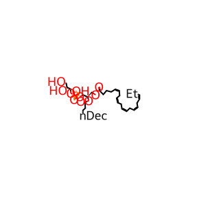 CC/C=C\C/C=C\C/C=C\C/C=C\C/C=C\CCCC(=O)OC[C@H](COP(=O)(O)OC[C@@H](O)CO)OC(=O)CCCCCCCCCCCC